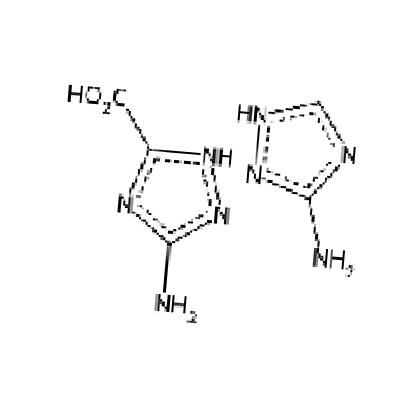 Nc1n[nH]c(C(=O)O)n1.Nc1nc[nH]n1